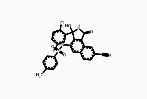 Cc1ccc(S(=O)(=O)Nc2cc3ccc(C#N)cc3c3c2C(O)(c2cc(F)ccc2Cl)NC3=O)cc1